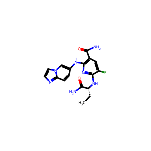 CC[C@@H](Nc1nc(Nc2ccc3nccn3c2)c(C(N)=O)cc1F)C(N)=O